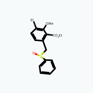 CCOC(=O)c1c(C[S+]([O-])c2ccccc2)ccc(CC)c1OC